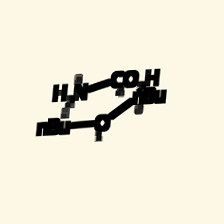 CCCCOCCCC.NC(=O)O